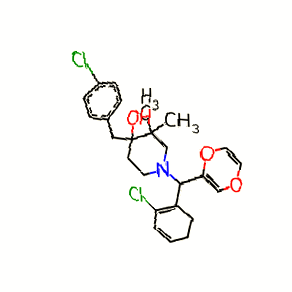 CC1(C)CN(C(C2=COC=CO2)C2=C(Cl)C=CCC2)CCC1(O)Cc1ccc(Cl)cc1